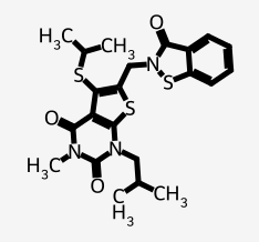 CC(C)Cn1c(=O)n(C)c(=O)c2c(SC(C)C)c(Cn3sc4ccccc4c3=O)sc21